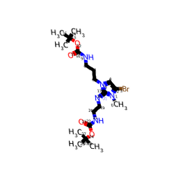 Cn1c(Br)cn(CCCNC(=O)OC(C)(C)C)/c1=N/CCNC(=O)OC(C)(C)C